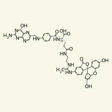 C=C(NCCNC(=O)CC[C@H](NC(=O)c1ccc(NCc2cnc3nc(N)nc(O)c3n2)cc1)C(=O)O)Nc1ccc2c(c1)C(=O)OC21c2ccc(O)cc2Oc2cc(O)ccc21